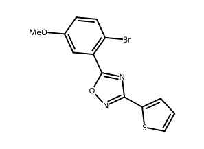 COc1ccc(Br)c(-c2nc(-c3cccs3)no2)c1